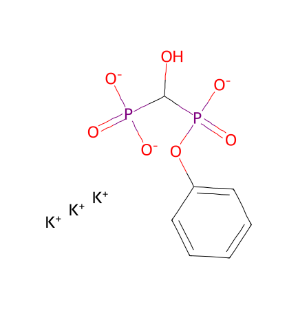 O=P([O-])([O-])C(O)P(=O)([O-])Oc1ccccc1.[K+].[K+].[K+]